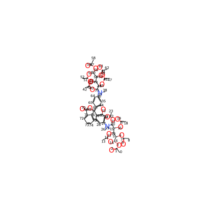 CC(=O)OCC(OC(C)=O)C(OC(C)=O)C(OC(C)=O)C(OC(C)=O)N(C)c1ccc2c(c1)Oc1cc(N(C)C(OC(C)=O)C(OC(C)=O)C(OC(C)=O)C(COC(C)=O)OC(C)=O)ccc1C21OC(=O)c2ccccc21